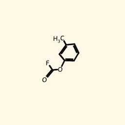 Cc1cccc(OC(=O)F)c1